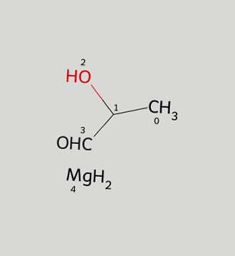 CC(O)C=O.[MgH2]